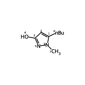 CCCCc1cc(O)nn1C